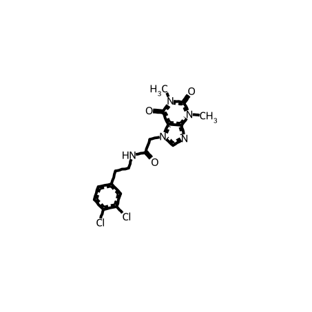 Cn1c(=O)c2c(ncn2CC(=O)NCCc2ccc(Cl)c(Cl)c2)n(C)c1=O